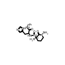 CCCNC(=O)C(Cc1cnc[nH]1)N[PH](=O)[C@@]1(N)CCCN(N)C1=O